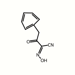 N#C/C(=N\O)C(=O)Cc1ccccc1